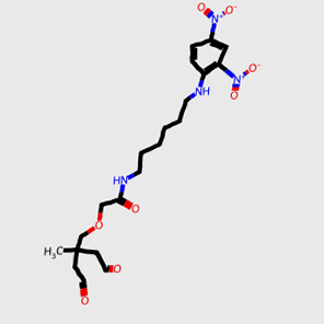 CC(CC=O)(CC=O)COCC(=O)NCCCCCCNc1ccc([N+](=O)[O-])cc1[N+](=O)[O-]